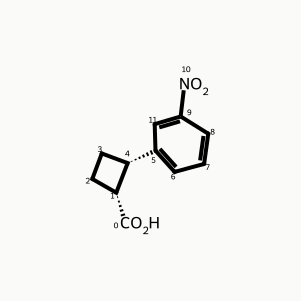 O=C(O)[C@@H]1CC[C@@H]1c1cccc([N+](=O)[O-])c1